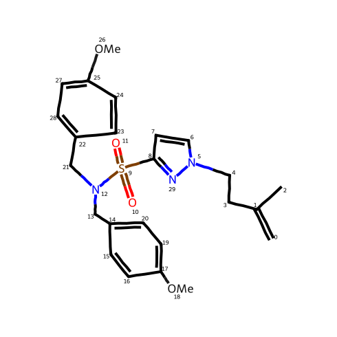 C=C(C)CCn1ccc(S(=O)(=O)N(Cc2ccc(OC)cc2)Cc2ccc(OC)cc2)n1